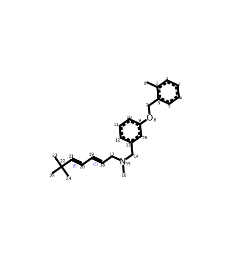 Cc1ccccc1COc1cccc(CN(C)C/C=C/C=C/C(C)(C)C)c1